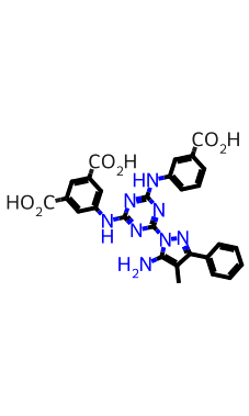 Cc1c(-c2ccccc2)nn(-c2nc(Nc3cccc(C(=O)O)c3)nc(Nc3cc(C(=O)O)cc(C(=O)O)c3)n2)c1N